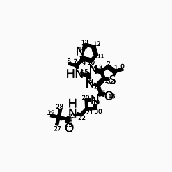 Cc1cc2nc(NC(C)c3ccccn3)nc(C(=O)N3CC(CNC(=O)C(C)(C)C)C3)c2s1